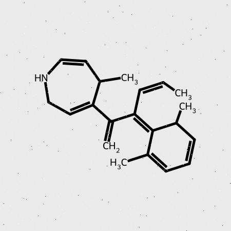 C=C(C1=CCNC=CC1C)C(/C=C\C)=C1\C(C)=CC=CC1C